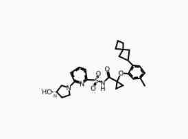 Cc1ccc(C2CC3(CCC3)C2)c(OC2(C(=O)NS(=O)(=O)c3cccc(N4CC[C@H](O)C4)n3)CC2)c1